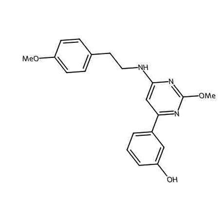 COc1ccc(CCNc2cc(-c3cccc(O)c3)nc(OC)n2)cc1